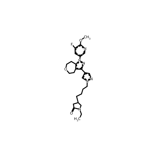 CCN1CC(CCCCn2cc(-c3nn(-c4cnc(OC)c(F)c4)c4c3CCOCC4)cn2)CC1=O